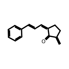 C=C1CCC(=CC=Cc2ccccc2)C1=O